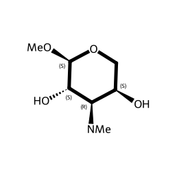 CN[C@H]1[C@H](O)[C@@H](OC)OC[C@H]1O